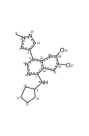 Cn1cc(-c2nnc(NC3CCCC3)c3cc(Cl)c(Cl)cc23)cn1